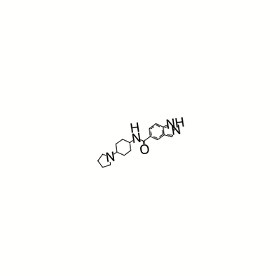 O=C(NC1CCC(N2CCCC2)CC1)c1ccc2[nH]ncc2c1